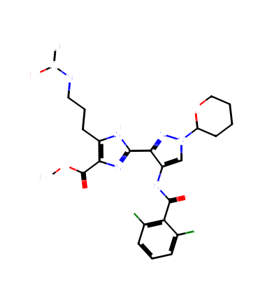 COC(=O)c1nc(-c2nn(C3CCCCO3)cc2NC(=O)c2c(F)cccc2F)[nH]c1CCCNB(C)O